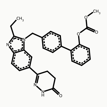 CCc1nc2ccc(C3=NNC(=O)CC3)cc2n1Cc1ccc(-c2ccccc2OC(=O)OC)cc1